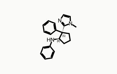 Cn1ccnc1[C@]1(c2ccccc2)CCC[C@H]1Nc1ccccc1